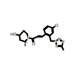 Cc1nnn(Cc2cc(Cl)ccc2/C=C/C(=O)N2CCC(O)C[C@@H]2C)n1